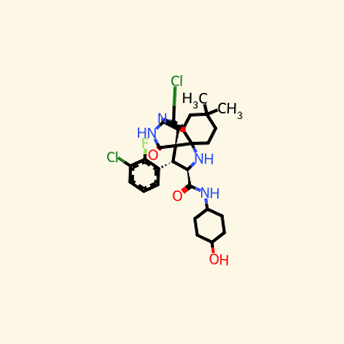 CC1(C)CCC2(CC1)N[C@@H](C(=O)NC1CCC(O)CC1)[C@H](c1cccc(Cl)c1F)[C@]21C(=O)Nc2nc(Cl)ccc21